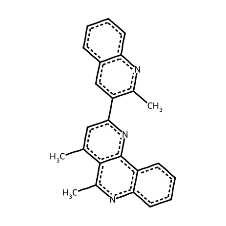 Cc1nc2ccccc2cc1-c1cc(C)c2c(C)nc3ccccc3c2n1